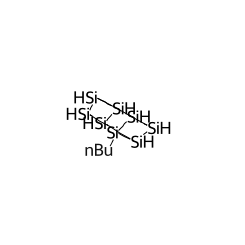 CCCC[Si]12[SiH]3[SiH]4[SiH]5[SiH]3[SiH]1[SiH]5[SiH]42